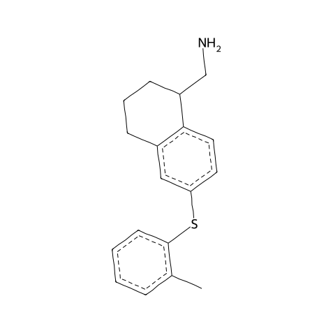 Cc1ccccc1Sc1ccc2c(c1)CCCC2CN